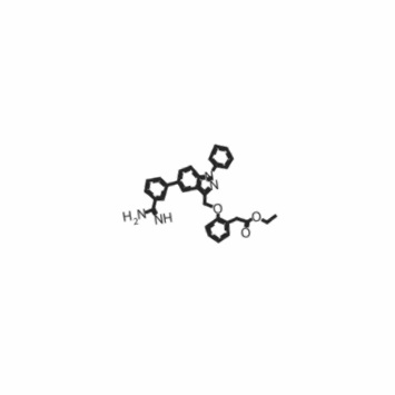 CCOC(=O)Cc1ccccc1OCc1nn(-c2ccccc2)c2ccc(-c3cccc(C(=N)N)c3)cc12